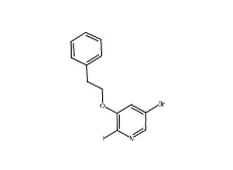 Brc1cnc(I)c(OCCc2ccccc2)c1